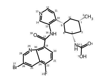 C[C@@H]1C[C@H](NC(=O)O)C[C@H](c2ccncc2NC(=O)c2ccc(F)c3cc(Br)cnc23)C1